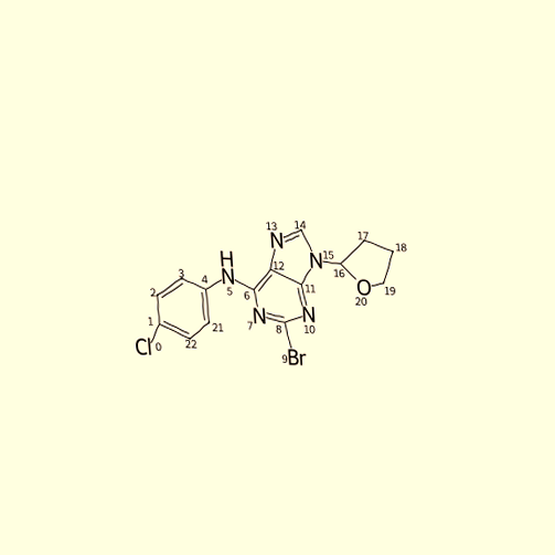 Clc1ccc(Nc2nc(Br)nc3c2ncn3C2CCCO2)cc1